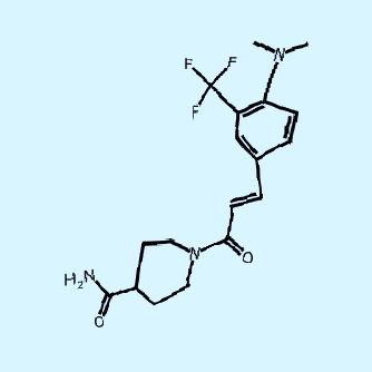 CN(C)c1ccc(/C=C/C(=O)N2CCC(C(N)=O)CC2)cc1C(F)(F)F